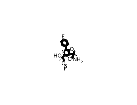 C[C@@](O)(COSI)c1cc2c(c(-c3ccc(F)cc3)n1)OC[C@]2(C)C(N)=O